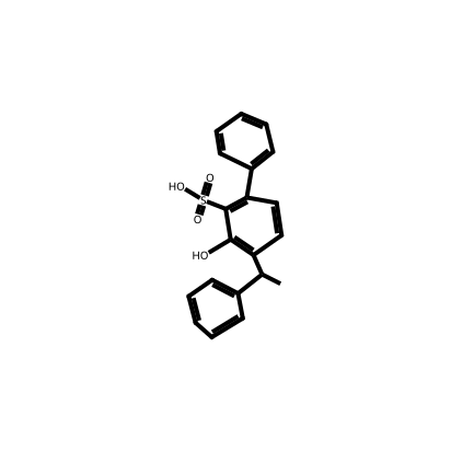 CC(c1ccccc1)c1ccc(-c2ccccc2)c(S(=O)(=O)O)c1O